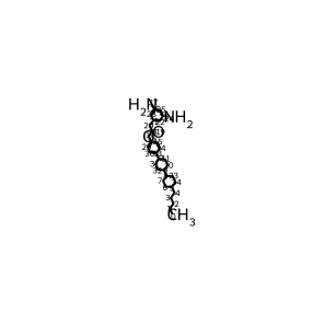 CCCCCC1CCC(C2CCC(c3ccc(OC(=O)Cc4cc(N)cc(N)c4)cc3)CC2)CC1